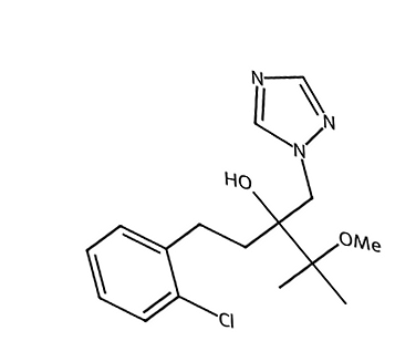 COC(C)(C)C(O)(CCc1ccccc1Cl)Cn1cncn1